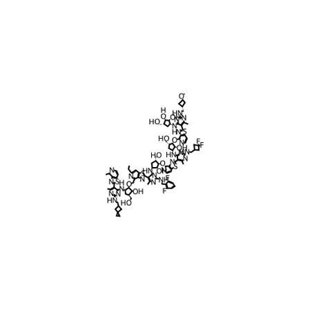 CCc1cc2sc(-c3c(C)nc(NCc4c(F)cccc4F)nc3N[C@@H]3C[C@H](CO)[C@@H](Oc4nccc5sc(-c6c(C)nc(NCC7CC(F)(F)C7)nc6N[C@@H]6C[C@H](CO)[C@@H](Oc7nccc8sc(-c9c(C)nc(NC[C@H]%10C[C@@H](OC)C%10)nc9N[C@@H]9C[C@H](CO)[C@@H](O)[C@H]9O)nc78)[C@H]6O)nc45)[C@H]3O)nc2c(CO[C@@H]2[C@H](O)[C@@H](CO)C[C@H]2Nc2nc(NCC3CC4(CC4)C3)nc(C)c2-c2nc3c(C)nccc3s2)n1